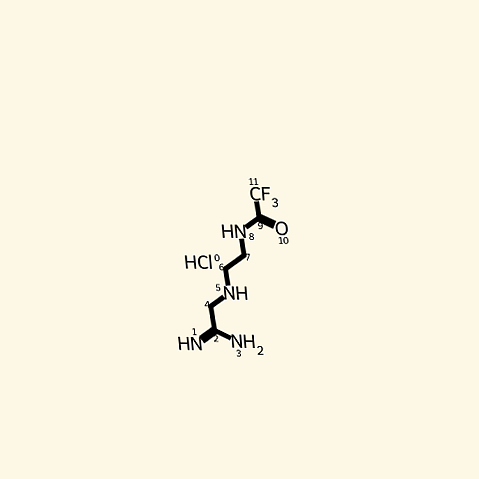 Cl.N=C(N)CNCCNC(=O)C(F)(F)F